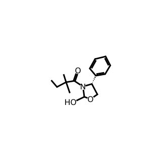 CCC(C)(C)C(=O)N1C(O)OC[C@H]1c1ccccc1